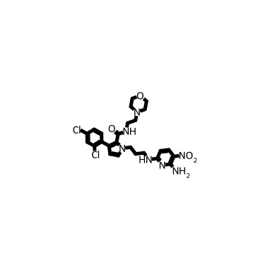 Nc1nc(NCCCn2ccc(-c3ccc(Cl)cc3Cl)c2C(=O)NCCN2CCOCC2)ccc1[N+](=O)[O-]